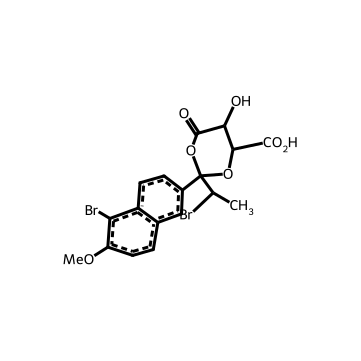 COc1ccc2cc(C3(C(C)Br)OC(=O)C(O)C(C(=O)O)O3)ccc2c1Br